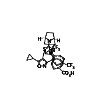 O=C(O)c1ccc(-c2csc(N3[C@@H]4CC[C@H]3CC(OCc3c(-c5ccccc5OC(F)(F)F)noc3C3CC3)C4)n2)cc1C(F)(F)F